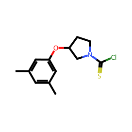 Cc1cc(C)cc(OC2CCN(C(=S)Cl)C2)c1